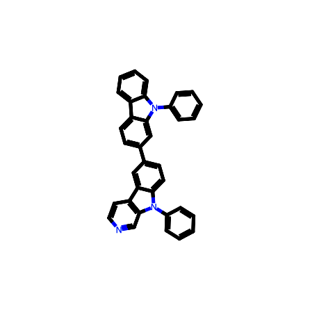 c1ccc(-n2c3ccc(-c4ccc5c6ccccc6n(-c6ccccc6)c5c4)cc3c3ccncc32)cc1